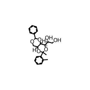 Cc1ccccc1C1(C)O[C@H]([C@H](O)CO)[C@@H]2OC(c3ccccc3)OC[C@@H]2O1